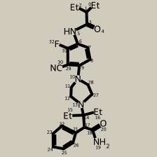 CCC(CC)C(=O)Nc1ccc(N2CCN(C(CC)(CC)C(C(N)=O)c3ccccc3)CC2)c(C#N)c1F